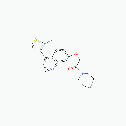 Cc1sccc1-c1ccnc2cc(OC(C)C(=O)N3CCCCC3)ccc12